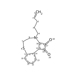 C=CCCCN1CCSc2ccccc2-c2c1c(=O)c2=O